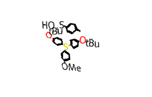 COc1ccc([S+](c2ccc(OC(C)(C)C)cc2)c2ccc(OC(C)(C)C)cc2)cc1.Cc1ccc(S(=O)(=O)O)cc1